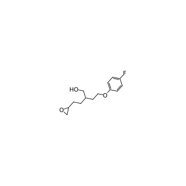 OCC(CCOc1ccc(F)cc1)CCC1CO1